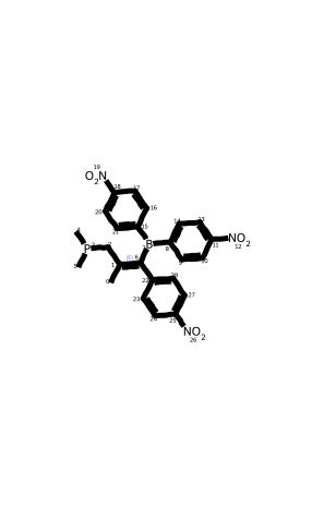 C/C(CP(C)C)=C(/B(c1ccc([N+](=O)[O-])cc1)c1ccc([N+](=O)[O-])cc1)c1ccc([N+](=O)[O-])cc1